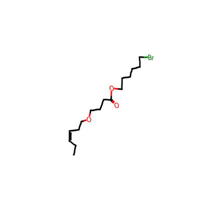 CC/C=C\CCOCCCC(=O)OCCCCCCBr